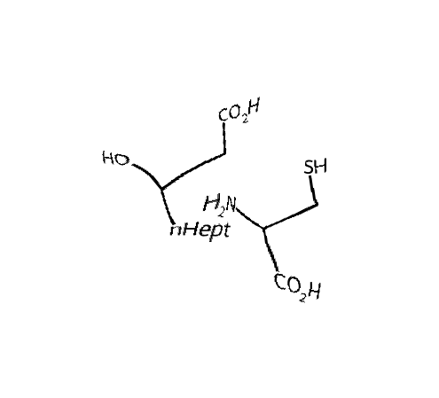 CCCCCCCC(O)CC(=O)O.NC(CS)C(=O)O